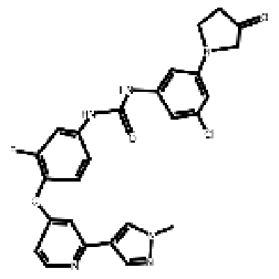 Cn1cc(-c2cc(Oc3ccc(NC(=O)Nc4cc(Cl)cc(N5CCC(=O)C5)c4)cc3F)ccn2)cn1